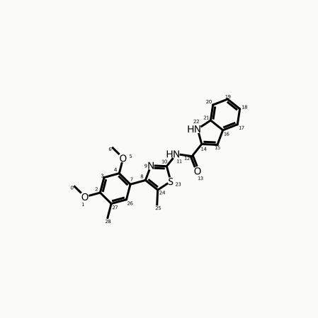 COc1cc(OC)c(-c2nc(NC(=O)c3cc4ccccc4[nH]3)sc2C)cc1C